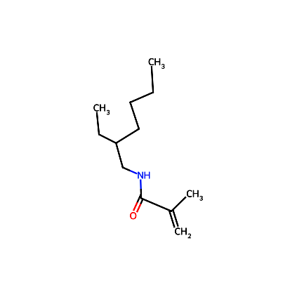 C=C(C)C(=O)NCC(CC)CCCC